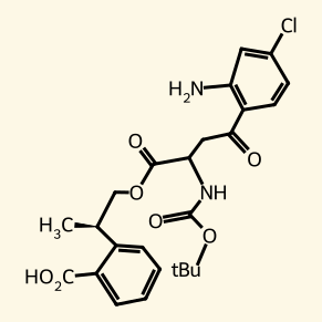 C[C@@H](COC(=O)C(CC(=O)c1ccc(Cl)cc1N)NC(=O)OC(C)(C)C)c1ccccc1C(=O)O